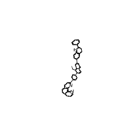 CCc1c(-c2ccc(-c3ccc4ccc5cccnc5c4n3)cc2)ccc2ccc(-c3ccc4nc(-c5ccccc5)ccc4c3)cc12